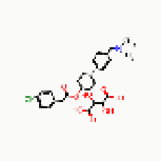 CN(C)Cc1ccc([C@H]2CC[C@H](OC(=O)Cc3ccc(Cl)cc3)CC2)cc1.O=C(O)C(O)C(O)C(=O)O